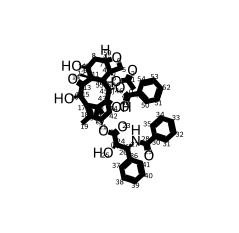 CC(=O)O[C@@]12CO[C@@H]1C[C@H](O)[C@@]1(C)C(=O)[C@H](O)C3=C(C)[C@@H](OC(=O)[C@H](O)[C@@H](NC(=O)c4ccccc4)c4ccccc4)CC(O)([C@@H](OC(=O)c4ccccc4)[C@H]21)C3(C)C